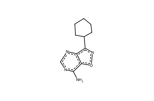 Nc1ncnc2c(C3CCCCC3)noc12